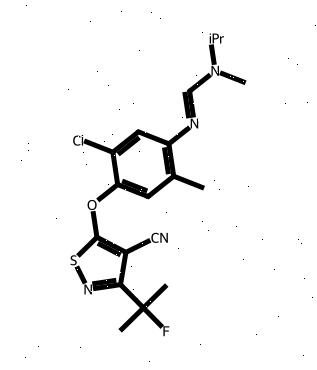 Cc1cc(Oc2snc(C(C)(C)F)c2C#N)c(Cl)cc1N=CN(C)C(C)C